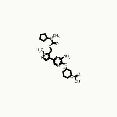 CN(C(=O)OCc1c(-c2cnc(O[C@H]3CCC[C@H](C(=O)O)C3)c(N)n2)cnn1C)C1CCCC1